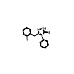 Cc1ccccc1Cc1n[nH]c(=S)n1-c1ccccc1